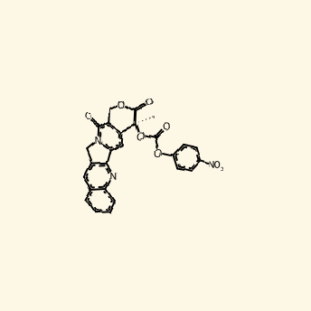 C[C@@]1(OC(=O)Oc2ccc([N+](=O)[O-])cc2)C(=O)OCc2c1cc1n(c2=O)Cc2cc3ccccc3nc2-1